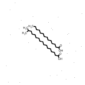 CC(C)CCCCCCCCCCCCCCC(=O)O.CCCCCCCCCCCCCC(=O)O